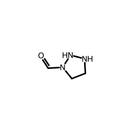 O=CN1CCNN1